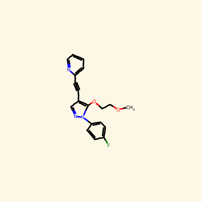 COCCOc1c(C#Cc2ccccn2)cnn1-c1ccc(F)cc1